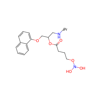 CC(C)NCC(COc1cccc2ccccc12)OC(=O)CCCON(O)O